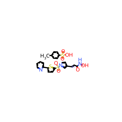 Cc1ccc(S(=O)(=O)O)cc1.O=C(/C=C/c1ccn(S(=O)(=O)c2ccc(-c3ccccn3)s2)c1)NO